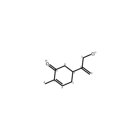 C=C(CCl)C1CC=C(C)C(=O)C1